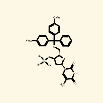 COc1ccc(C(OC[C@H]2O[C@@H](n3cc(C)c(=O)[nH]c3=O)CC2O[Si](C(C)C)(C(C)C)C(C)C)(c2ccccc2)c2ccc(OC)cc2)cc1